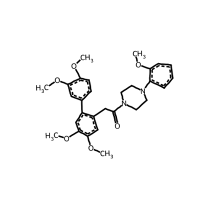 COc1ccc(-c2cc(OC)c(OC)cc2CC(=O)N2CCN(c3ccccc3OC)CC2)cc1OC